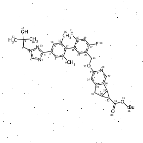 Cc1cc(-c2ncn(CC(C)(C)O)n2)cc(C)c1-c1cc(COc2cc3c(cn2)C2C(C3)C2C(=O)OC(C)(C)C)c(F)cc1F